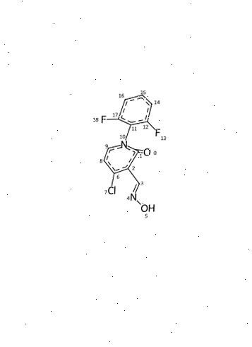 O=c1c(C=NO)c(Cl)ccn1-c1c(F)cccc1F